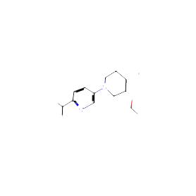 CCO[C@H]1CN(c2ccc(C(C)C)nc2)CC[C@@H]1O